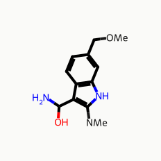 CNc1[nH]c2cc(COC)ccc2c1C(N)O